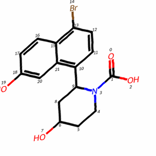 O=C(O)N1CCC(O)CC1c1ccc(Br)c2ccc(O)cc12